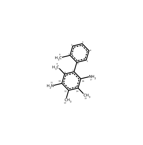 Cc1ccccc1-c1c(C)c(N)c(C)c(C)c1N